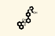 C[C@@H](NC1CCCC(c2ccc(CN3CCCC3CO)cc2)C1)c1cccc2ccccc12